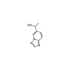 CC(O)c1ccc2ncnn2c1